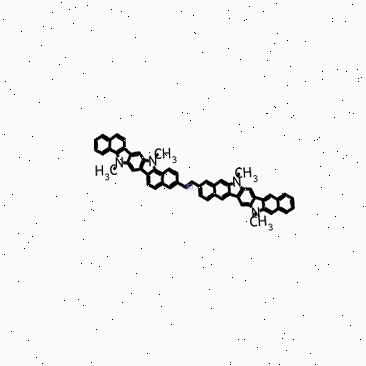 Cn1c2cc3ccccc3cc2c2cc3c(cc21)c1cc2ccc(/C=C/c4ccc5c(ccc6c7cc8c(cc7n(C)c56)c5ccc6ccccc6c5n8C)c4)cc2cc1n3C